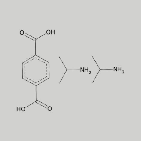 CC(C)N.CC(C)N.O=C(O)c1ccc(C(=O)O)cc1